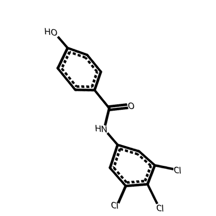 O=C(Nc1cc(Cl)c(Cl)c(Cl)c1)c1ccc(O)cc1